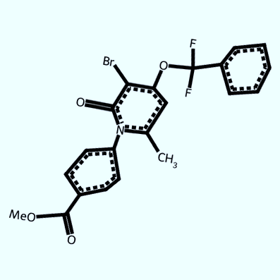 COC(=O)c1ccc(-n2c(C)cc(OC(F)(F)c3ccccc3)c(Br)c2=O)cc1